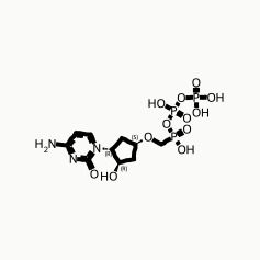 Nc1ccn([C@@H]2C[C@H](OCP(=O)(O)OP(=O)(O)OP(=O)(O)O)C[C@H]2O)c(=O)n1